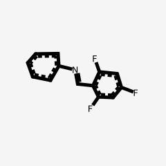 Fc1cc(F)c(C=Nc2ccccc2)c(F)c1